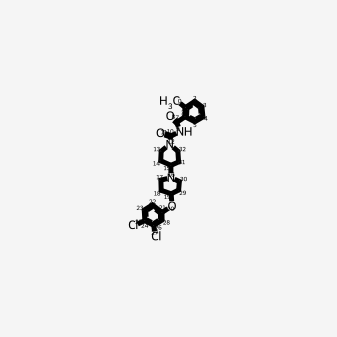 Cc1ccccc1C(=O)NC(=O)N1CCC(N2CCC(Oc3ccc(Cl)c(Cl)c3)CC2)CC1